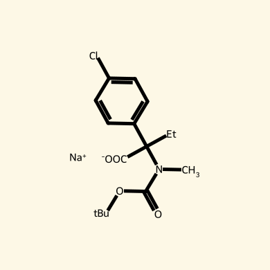 CCC(C(=O)[O-])(c1ccc(Cl)cc1)N(C)C(=O)OC(C)(C)C.[Na+]